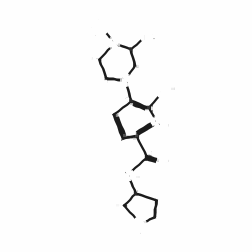 CC(C)(C)C1CN(c2ccc(C(=O)NC3CCOC3)nc2Cl)CCN1C(=O)O